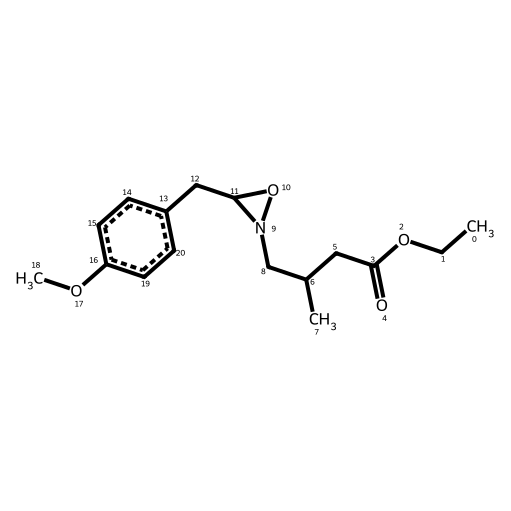 CCOC(=O)CC(C)CN1OC1Cc1ccc(OC)cc1